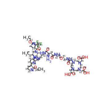 CCOc1ccc(C(=O)N2CCN(c3ccc(-c4cccnc4OCC)nc3CNCCCNC(=O)C(N)CC(=O)NCCOCCNC(=O)CN3CCN(CC(=O)O)CCN(CC(=O)O)CCN(CC(=O)O)CC3)C(CC)C2)c(C(F)(F)F)n1